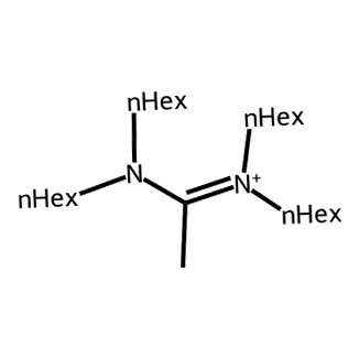 CCCCCCN(CCCCCC)C(C)=[N+](CCCCCC)CCCCCC